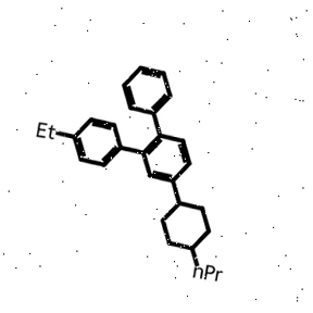 CCCC1CCC(c2ccc(-c3ccccc3)c(-c3ccc(CC)cc3)c2)CC1